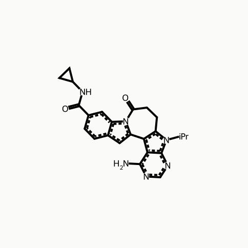 CC(C)n1c2c(c3c(N)ncnc31)-c1cc3ccc(C(=O)NC4CC4)cc3n1C(=O)CC2